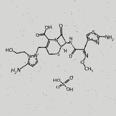 CO/N=C(\C(=O)N[C@@H]1C(=O)N2C(C(=O)O)=C(C[n+]3ccc(N)n3CCO)CS[C@H]12)c1csc(N)n1.O=S(=O)(O)O